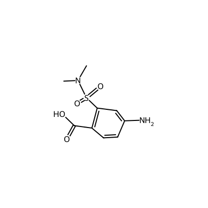 CN(C)S(=O)(=O)c1cc(N)ccc1C(=O)O